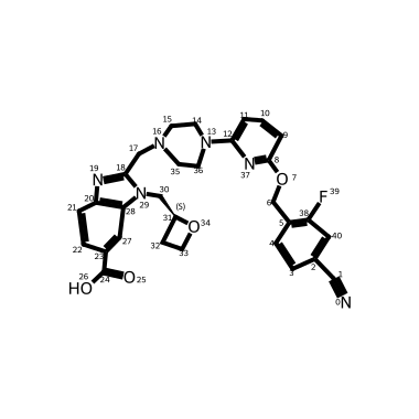 N#Cc1ccc(COc2cccc(N3CCN(Cc4nc5ccc(C(=O)O)cc5n4C[C@@H]4CCO4)CC3)n2)c(F)c1